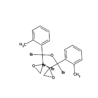 Cc1ccccc1C(Br)(OC(Br)(c1ccccc1C)C1(Br)CO1)C1(Br)CO1